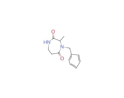 CC1C(=O)NCCC(=O)N1Cc1ccccc1